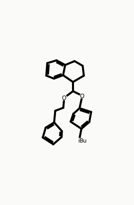 CCC(C)c1ccc(OC(OCCc2ccccc2)C2CCCc3ccccc32)cc1